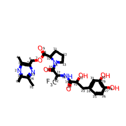 Cc1nc(C)c(COC(=O)C2CCCN2C(=O)C(NC(=O)C(O)Cc2ccc(O)c(O)c2)C(F)(F)F)nc1C